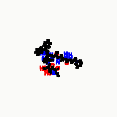 CCNC(=O)C1O[C@@H](n2cnc3c(NCC(c4ccccc4)c4ccccc4)nc(C(=O)NCCNC(=O)NCCN4CCCCC4)nc32)[C@@H](O)[C@@H]1O